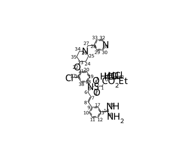 CCOC(=O)CS(=O)(=O)N(C/C=C/c1cccc(C(=N)N)c1)c1ccc(OC2CCN(Cc3ccncc3)CC2)c(Cl)c1.Cl.Cl.Cl